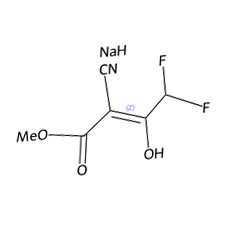 COC(=O)/C(C#N)=C(\O)C(F)F.[NaH]